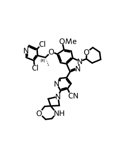 COc1cc2c(cc1O[C@H](C)c1c(Cl)cncc1Cl)c(-c1cnc(N3CC4(COCCN4)C3)c(C#N)c1)nn2C1CCCCO1